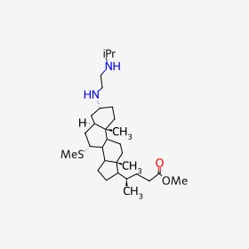 COC(=O)CC[C@@H](C)C1CCC2C3C(CC[C@@]21C)[C@@]1(C)CC[C@@H](NCCNC(C)C)C[C@@H]1C[C@H]3SC